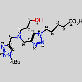 CC(C)(C)n1cc(CN(CCCO)Cc2cn(CCCCC(=O)O)nn2)nn1